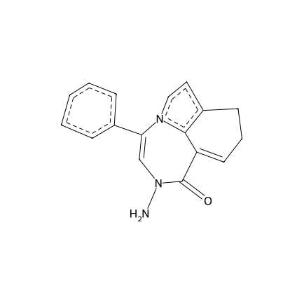 NN1C=C(c2ccccc2)n2ccc3c2C(=CCC3)C1=O